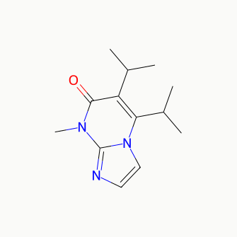 CC(C)c1c(C(C)C)n2ccnc2n(C)c1=O